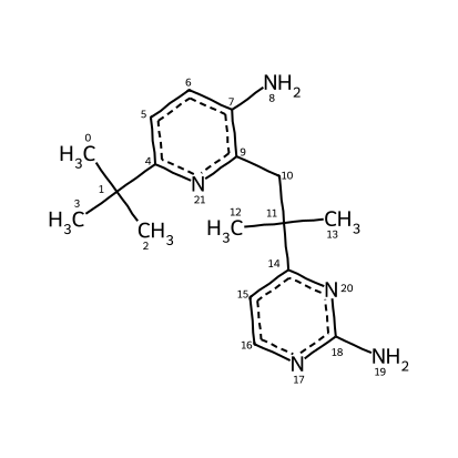 CC(C)(C)c1ccc(N)c(CC(C)(C)c2ccnc(N)n2)n1